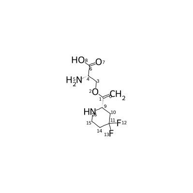 C=C(OC[C@H](N)C(=O)O)[C@@H]1CC(F)(F)CCN1